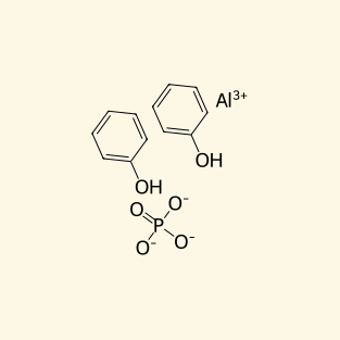 O=P([O-])([O-])[O-].Oc1ccccc1.Oc1ccccc1.[Al+3]